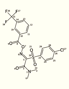 CN(C)C(=O)C(=NOC(=O)c1cccc(C(F)(F)F)c1)S(=O)(=O)c1ccc(Cl)cc1